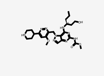 CCC[C@@H](CCO)Nc1nc(NC(=O)OC)nc2cnn(Cc3nnc(C4CCNCC4)cc3OC)c12